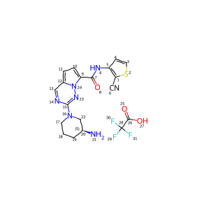 N#Cc1sccc1NC(=O)c1ccc2cnc(N3CCC[C@H](N)C3)nn12.O=C(O)C(F)(F)F